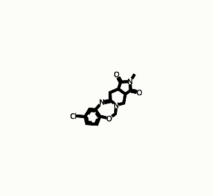 CN1C(=O)C2CC3=Nc4cc(Cl)ccc4OCN3CC2C1=O